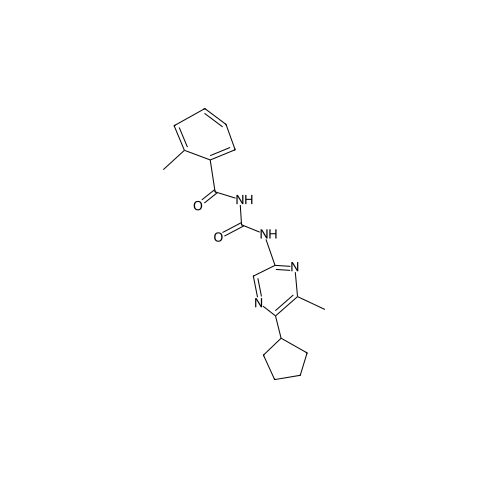 Cc1ccccc1C(=O)NC(=O)Nc1cnc(C2CCCC2)c(C)n1